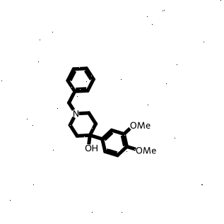 COc1ccc(C2(O)CCN(Cc3ccccc3)CC2)cc1OC